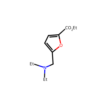 CCOC(=O)c1ccc(CN(CC)CC)o1